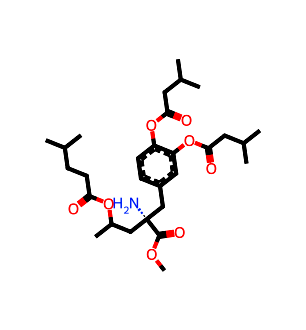 COC(=O)[C@](N)(Cc1ccc(OC(=O)CC(C)C)c(OC(=O)CC(C)C)c1)CC(C)OC(=O)CCC(C)C